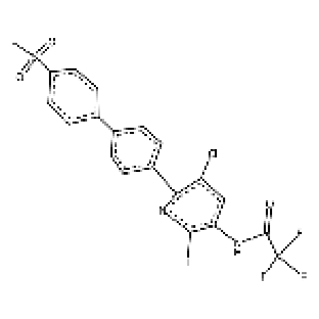 CS(=O)(=O)c1ccc(-c2ccc(-c3nc(I)c(NC(=O)C(F)(F)F)cc3Cl)cc2)cc1